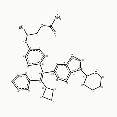 CC(C)(C)C(COC(N)=O)Oc1ccc(C(=C(c2ccccc2)C2CCC2)c2ccc3c(cnn3C3CCCCO3)c2)cc1